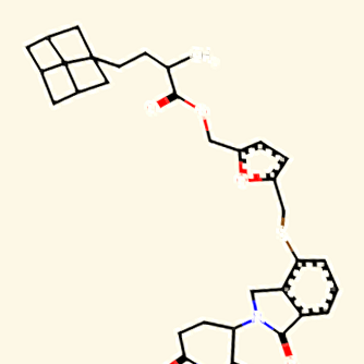 CC(CCC12CC3CC4CC(C1)C432)C(=O)OCc1ccc(CSc2cccc3c2CN(C2CCC(=O)NC2=O)C3=O)o1